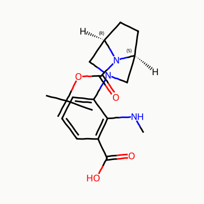 CNc1c(C(=O)O)cccc1N1C[C@H]2CC[C@@H](C1)N2C(=O)OC(C)(C)C